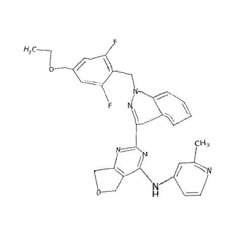 CCOc1cc(F)c(Cn2nc(-c3nc4c(c(Nc5ccnc(C)c5)n3)COC4)c3ccccc32)c(F)c1